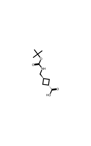 CC(C)(C)OC(=O)NC[C@H]1C[C@H](C(=O)O)C1